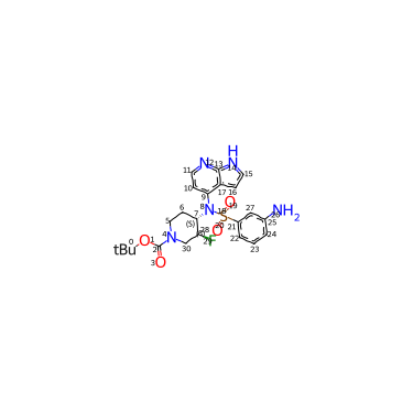 CC(C)(C)OC(=O)N1CC[C@H](N(c2ccnc3[nH]ccc23)S(=O)(=O)c2cccc(N)c2)[C@@H](F)C1